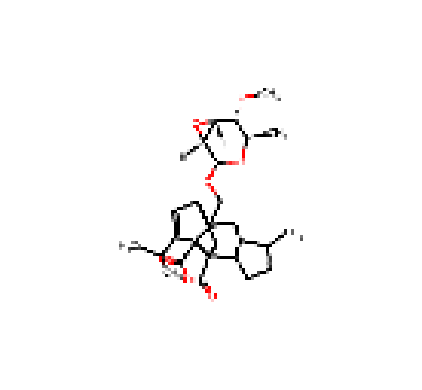 CO[C@H]1[C@H]2O[C@H]2[C@H](OCC23CC4C(C)CCC4C4(C=O)CC2C=C(C(C)C)C43C(=O)O)O[C@@H]1C